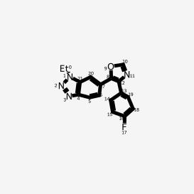 CCn1nnc2ccc(-c3ocnc3-c3ccc(F)cc3)cc21